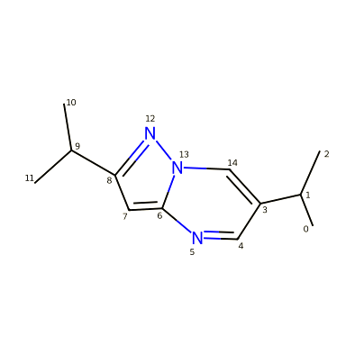 CC(C)c1cnc2cc(C(C)C)nn2c1